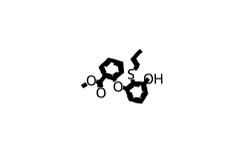 CC=CSc1c(O)cccc1Oc1ccccc1C(=O)OC